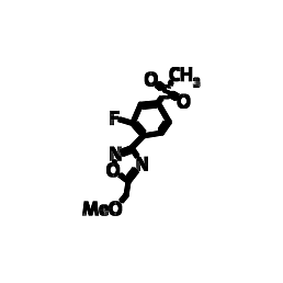 COCc1nc(-c2ccc(S(C)(=O)=O)cc2F)no1